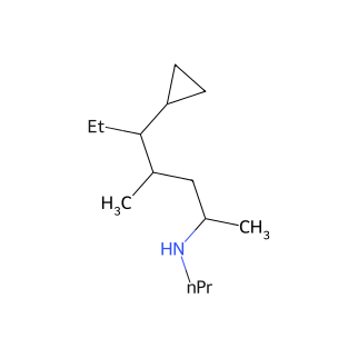 CCCNC(C)CC(C)C(CC)C1CC1